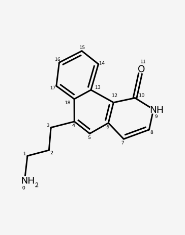 NCCCc1cc2cc[nH]c(=O)c2c2ccccc12